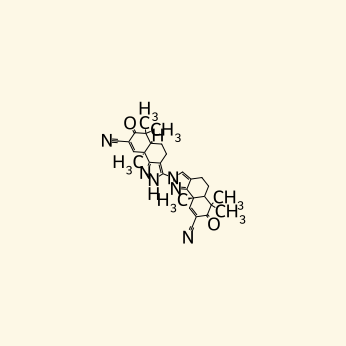 CC1(C)C(=O)C(C#N)=C[C@]2(C)c3nn(-c4[nH]nc5c4CC[C@H]4C(C)(C)C(=O)C(C#N)=C[C@]54C)cc3CCC12